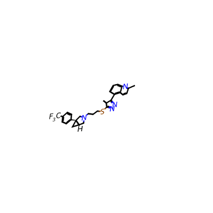 Cc1ccc2c(C3=NN=C(SCCCN4C[C@@H]5C[C@]5(c5ccc(C(F)(F)F)cc5)C4)C3C)cccc2n1